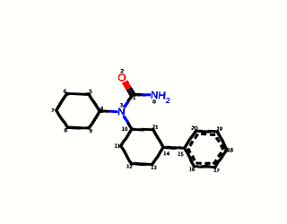 NC(=O)N(C1CCCCC1)C1CCCC(c2ccccc2)C1